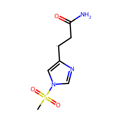 CS(=O)(=O)n1cnc([CH]CC(N)=O)c1